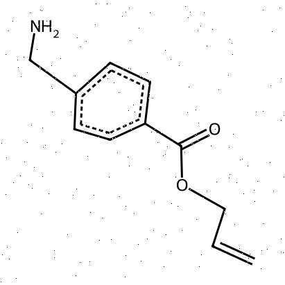 C=CCOC(=O)c1ccc(CN)cc1